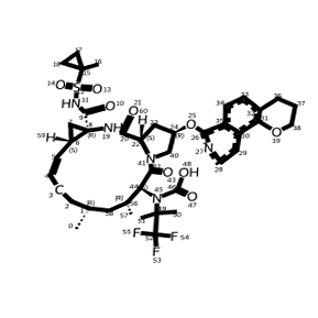 C[C@@H]1CCC=C[C@@H]2C[C@@]2(C(=O)NS(=O)(=O)C2(C)CC2)NC(=O)[C@@H]2C[C@@H](Oc3nccc4c5c(ccc34)CCCO5)CN2C(=O)[C@@H](N(C(=O)O)C(C)(C)C(F)(F)F)[C@H](C)C1